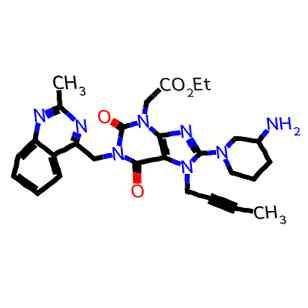 CC#CCn1c(N2CCCC(N)C2)nc2c1c(=O)n(Cc1nc(C)nc3ccccc13)c(=O)n2CC(=O)OCC